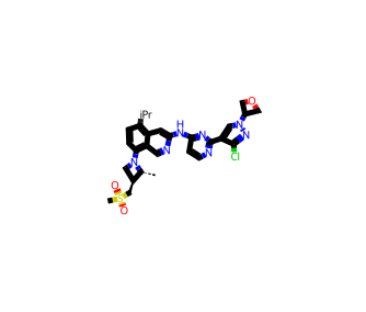 CC(C)c1ccc(N2C[C@H](CS(C)(=O)=O)[C@H]2C)c2cnc(Nc3ccnc(-c4cn(C5COC5)nc4Cl)n3)cc12